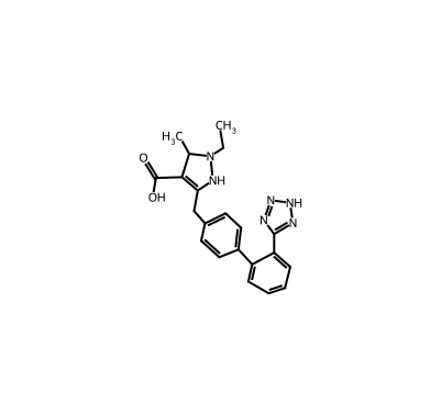 CCN1NC(Cc2ccc(-c3ccccc3-c3nn[nH]n3)cc2)=C(C(=O)O)C1C